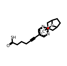 CN1CC2CCC(C1)N2c1ncc(C#CCCCC(=O)S)cn1